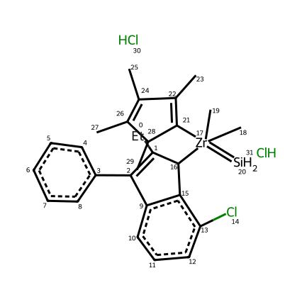 CCC1=C(c2ccccc2)c2cccc(Cl)c2[CH]1[Zr]([CH3])([CH3])(=[SiH2])[C]1=C(C)C(C)=C(C)C1C.Cl.Cl